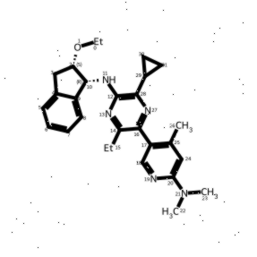 CCO[C@H]1Cc2ccccc2[C@H]1Nc1nc(CC)c(-c2cnc(N(C)C)cc2C)nc1C1CC1